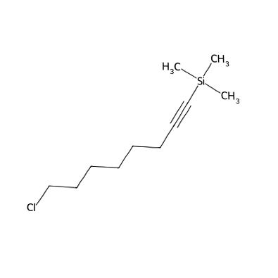 C[Si](C)(C)C#CCCCCCCCl